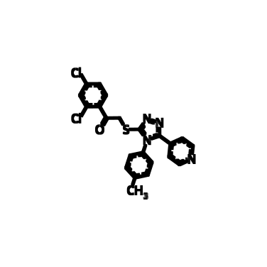 Cc1ccc(-n2c(SCC(=O)c3ccc(Cl)cc3Cl)nnc2-c2ccncc2)cc1